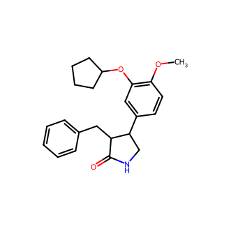 COc1ccc(C2CNC(=O)C2Cc2ccccc2)cc1OC1CCCC1